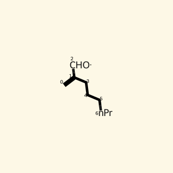 C=C([C]=O)CCCCCC